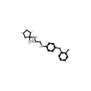 Cc1ccccc1Cc1ccc(OCCNC2(C=O)CCCC2)cc1